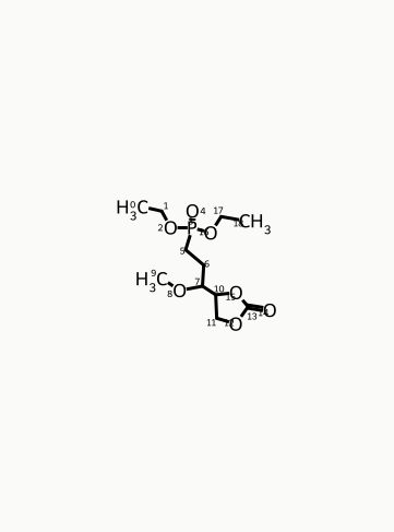 CCOP(=O)(CCC(OC)C1COC(=O)O1)OCC